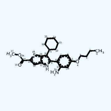 CCCCOc1ccc(-c2[nH]c3cc(C(=O)OC)sc3c2C2CCCCC2)c(N)c1